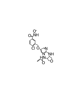 C=CC(=O)NC1COCC1Nc1ncc(OCc2cc(C(=O)NOC)ccc2Cl)cn1